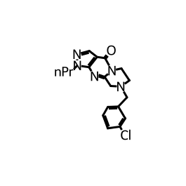 CCCn1ncc2c(=O)n3c(nc21)CN(Cc1cccc(Cl)c1)CC3